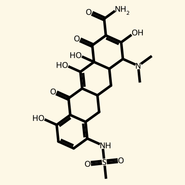 CN(C)C1C(O)=C(C(N)=O)C(=O)C2(O)C(O)=C3C(=O)c4c(O)ccc(NS(C)(=O)=O)c4CC3CC12